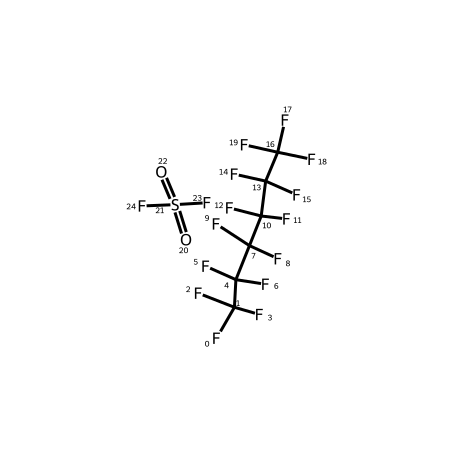 FC(F)(F)C(F)(F)C(F)(F)C(F)(F)C(F)(F)C(F)(F)F.O=S(=O)(F)F